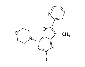 Cc1c(-c2ccccn2)oc2c(N3CCOCC3)nc(Cl)nc12